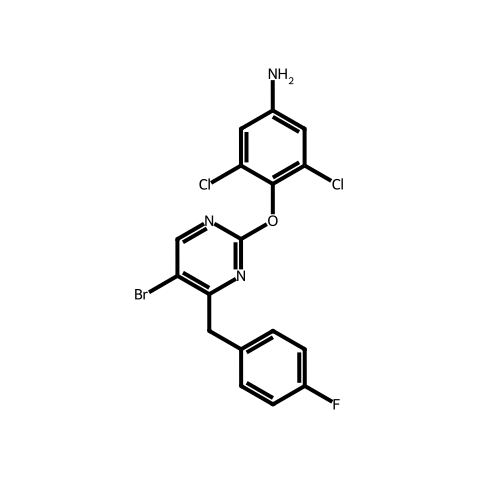 Nc1cc(Cl)c(Oc2ncc(Br)c(Cc3ccc(F)cc3)n2)c(Cl)c1